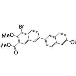 COC(=O)c1cc2cc(-c3ccc4cc(O)ccc4c3)ccc2c(Br)c1OC